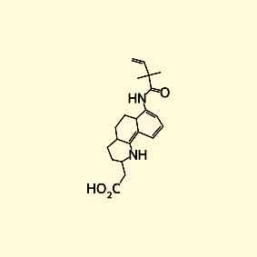 C=CC(C)(C)C(=O)NC1=CC=CC2=C3NC(CC(=O)O)CCC3CCC12